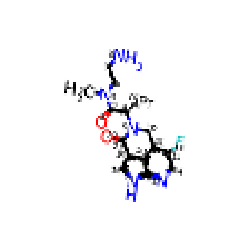 CC(C)[C@H](C(=O)N(C)CCN)N1Cc2c(F)cnc3[nH]cc(c23)C1=O